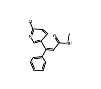 CNC(=O)C=C(c1ccccc1)c1ccc(Cl)nc1